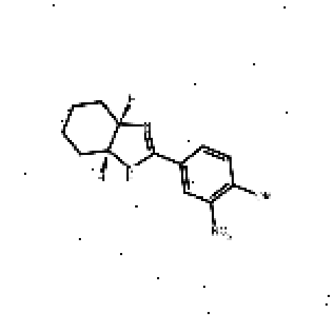 O=[N+]([O-])c1cc(C2=N[C@H]3CCCC[C@H]3N2)ccc1O